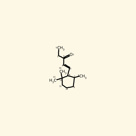 CCC(=O)/C=C/C1C(C)CCCC1(C)C